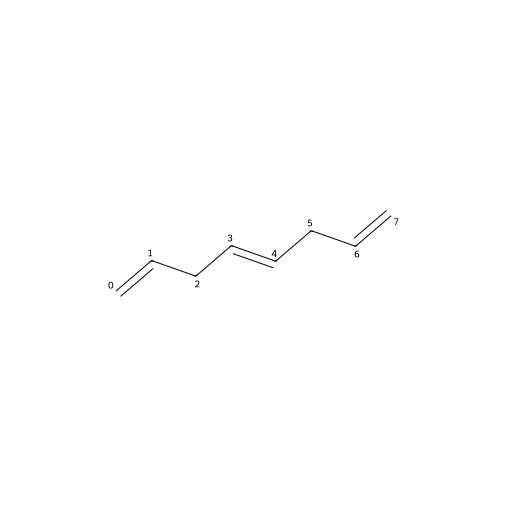 C=CCC=CCC=C